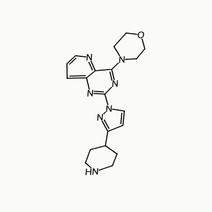 c1cnc2c(N3CCOCC3)nc(-n3ccc(C4CCNCC4)n3)nc2c1